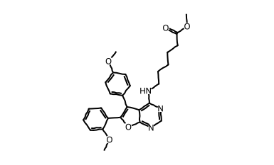 COC(=O)CCCCCNc1ncnc2oc(-c3ccccc3OC)c(-c3ccc(OC)cc3)c12